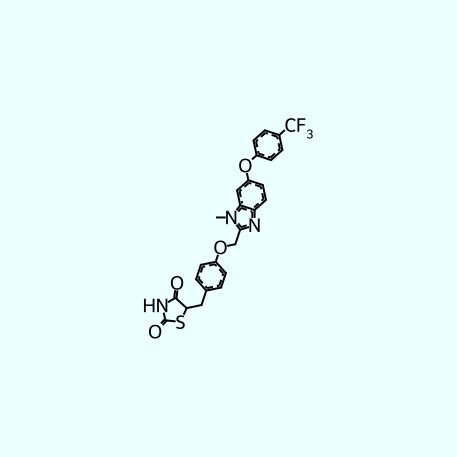 Cn1c(COc2ccc(CC3SC(=O)NC3=O)cc2)nc2ccc(Oc3ccc(C(F)(F)F)cc3)cc21